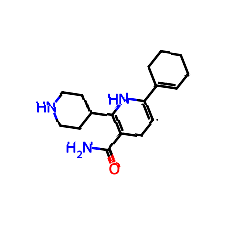 NC(=O)C1=C(C2CCNCC2)NC(C2=CCCCC2)=[C]C1